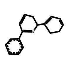 C1=CCCC(C2CC=CC(c3ccccc3)=N2)=C1